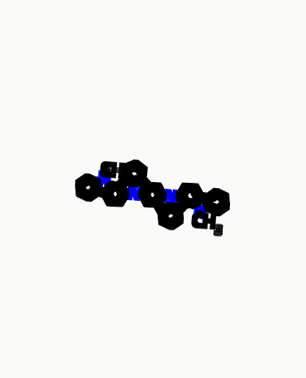 Cn1c2ccccc2c2ccc3c(c4cccc5c6cc7c(cc6n3c54)c3cccc4c5c6c(ccc5n7c34)c3ccccc3n6C)c21